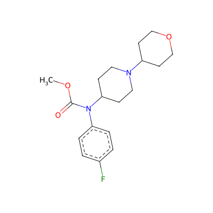 COC(=O)N(c1ccc(F)cc1)C1CCN(C2CCOCC2)CC1